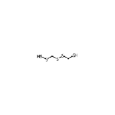 SCSSCSS